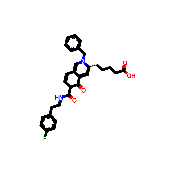 O=C(O)CCCC[C@@H]1C=C2C(=O)C(C(=O)NCCc3ccc(F)cc3)C=CC2=CN1Cc1ccccc1